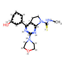 CNC(=S)N1CCc2c(-c3cccc(O)c3)nc(N3CCOCC3)nc21